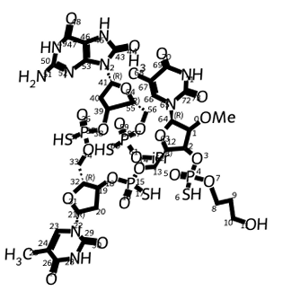 COC1C(OP(=O)(S)OCCCO)[C@@H](COP(=O)(S)OC2C[C@H](n3cc(C)c(=O)[nH]c3=O)O[C@@H]2COP(=O)(S)OC2C[C@H](n3c(=O)[nH]c4c(=O)[nH]c(N)nc43)O[C@@H]2COP(=O)(S)OC(C)C)O[C@H]1n1cc(C)c(=O)[nH]c1=O